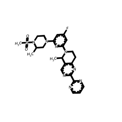 CC1c2cnc(-c3ncccn3)nc2CCN1c1cc(F)cc(N2CCN(S(C)(=O)=O)C(C)C2)n1